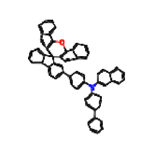 c1ccc(-c2ccc(N(c3ccc(-c4ccc5c(c4)C4(c6ccccc6-5)c5ccc6ccccc6c5Oc5c4ccc4ccccc54)cc3)c3ccc4ccccc4c3)cc2)cc1